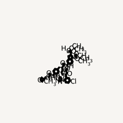 CC1(CNC(=O)Nc2ccc(C[C@@H](C(=O)Nc3ccc4c(c3)cc(C(=O)OC(C)(C)C)n4C(=O)OC(C)(C)C)N3CCN(c4cc(Cl)ccc4-n4cnnn4)C(=O)C3=O)cc2)COC1